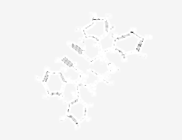 C#CC[Si](O[Si](C)(C)O[Si](CC#C)(c1ccccc1)c1ccccc1)(c1ccccc1)c1ccccc1